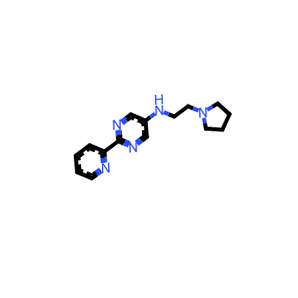 c1ccc(-c2ncc(NCCN3CCCC3)cn2)nc1